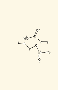 CCC(=O)O.CCCOC(C)=O